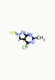 Cc1nc(Cl)c2cn(S)nc2n1